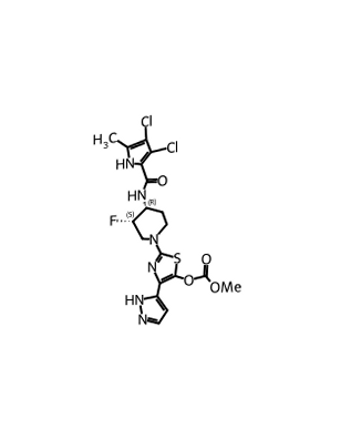 COC(=O)Oc1sc(N2CC[C@@H](NC(=O)c3[nH]c(C)c(Cl)c3Cl)[C@@H](F)C2)nc1-c1ccn[nH]1